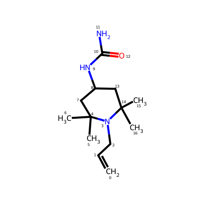 C=CCN1C(C)(C)CC(NC(N)=O)CC1(C)C